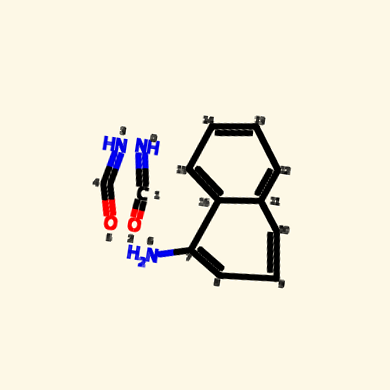 N=C=O.N=C=O.Nc1cccc2ccccc12